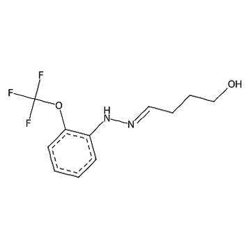 OCCCC=NNc1ccccc1OC(F)(F)F